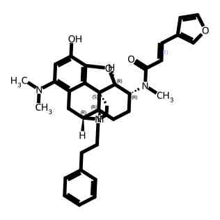 CN(C)c1cc(O)c2c3c1C[C@@H]1[C@@H]4CC[C@@H](N(C)C(=O)/C=C/c5ccoc5)[C@H](O2)[C@]34CCN1CCc1ccccc1